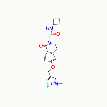 [CH2]NC/C(=C\F)COc1ccc2c(c1)CCN(CC(=O)NC1CCC1)C2=O